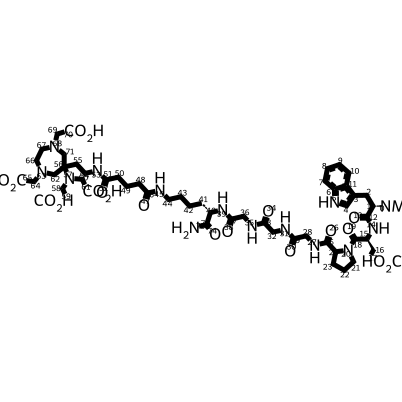 CN[C@@H](Cc1c[nH]c2ccccc12)C(=O)N[C@@H](CC(=O)O)C(=O)N1CCCC1C(=O)NCC(=O)NCC(=O)NCC(=O)N[C@@H](CCCCNC(=O)CCCC(=O)NCCC1(N(CC(=O)O)CC(=O)O)CN(CC(=O)O)CCN(CC(=O)O)C1)C(N)=O